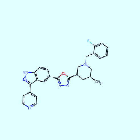 C[C@H]1C[C@@H](c2nnc(-c3ccc4[nH]nc(-c5ccncc5)c4c3)o2)CN(Cc2ccccc2F)C1